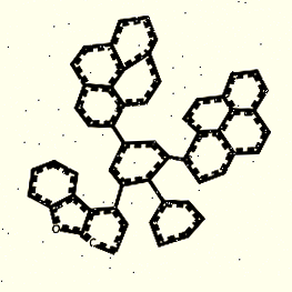 c1ccc(-c2c(-c3ccc4ccc5cccc6ccc3c4c56)cc(-c3ccc4ccc5cccc6ccc3c4c56)cc2-c2cccc3oc4ccccc4c23)cc1